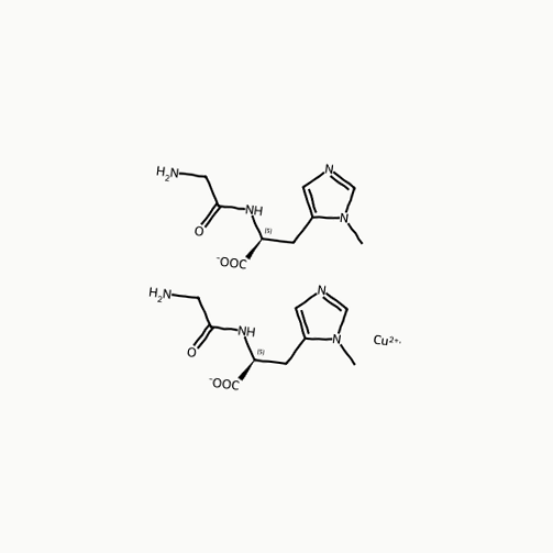 Cn1cncc1C[C@H](NC(=O)CN)C(=O)[O-].Cn1cncc1C[C@H](NC(=O)CN)C(=O)[O-].[Cu+2]